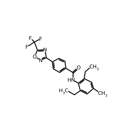 CCc1cc(C)cc(CC)c1NC(=O)c1ccc(-c2noc(C(F)(F)F)n2)cc1